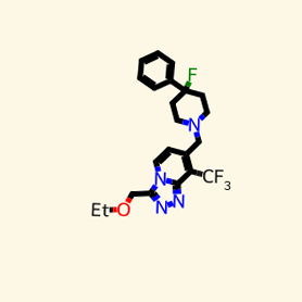 CCOCc1nnc2c(C(F)(F)F)c(CN3CCC(F)(c4ccccc4)CC3)ccn12